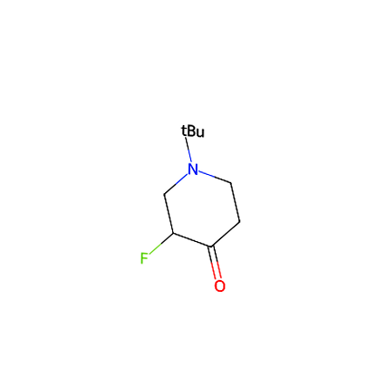 CC(C)(C)N1CCC(=O)C(F)C1